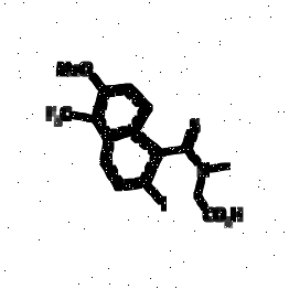 COc1ccc2c(C(=S)N(C)CC(=O)O)c(I)ccc2c1C(F)(F)F